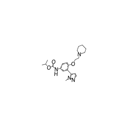 CC(C)OC(=O)Nc1ccc(OCCN2CCCCC2)c(-c2ccnn2C)c1